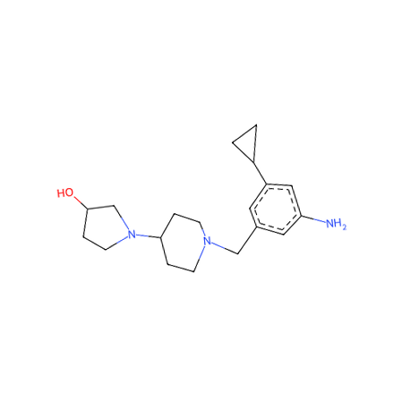 Nc1cc(CN2CCC(N3CCC(O)C3)CC2)cc(C2CC2)c1